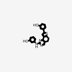 Oc1cccc(Nc2ncc3c(n2)-c2cc(-c4cccc(O)c4)sc2CC3)c1